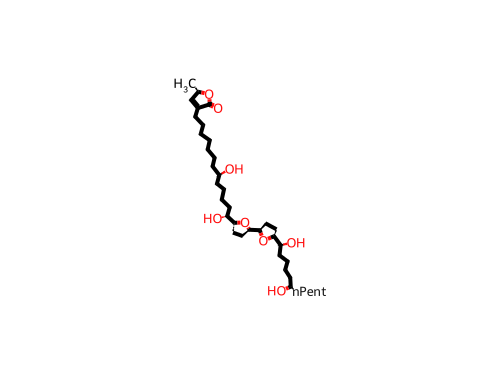 CCCCC[C@H](O)CCCC[C@H](O)[C@H]1CC[C@H]([C@H]2CC[C@H]([C@H](O)CCCC[C@H](O)CCCCCCCC3=C[C@H](C)OC3=O)O2)O1